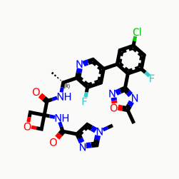 Cc1nc(-c2c(F)cc(Cl)cc2-c2cnc([C@@H](C)NC(=O)C3(NC(=O)c4cn(C)cn4)COC3)c(F)c2)no1